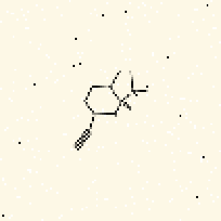 C#CC1CCN(C)P(=O)(N(C)C)S1